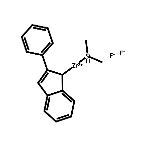 C[SiH](C)[Zr+2][CH]1C(c2ccccc2)=Cc2ccccc21.[F-].[F-]